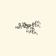 CC(C)Oc1cc(OC(C)C)cc(C(=O)Nc2nc(CC(=O)O)cs2)c1